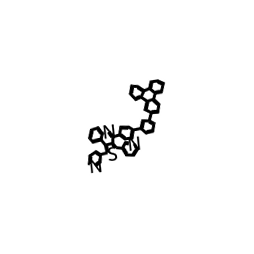 c1cc(-c2ccc(-c3nc4ccccc4c4c(-c5cccnc5)sc(-c5cccnc5)c34)cc2)cc(-c2ccc3c4ccccc4c4ccccc4c3c2)c1